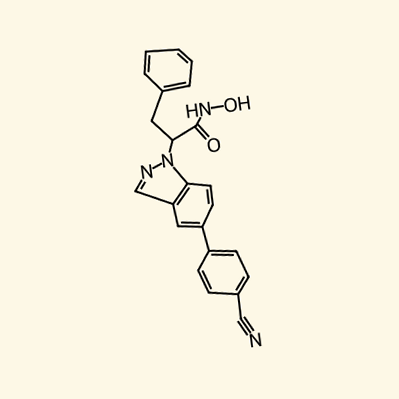 N#Cc1ccc(-c2ccc3c(cnn3C(Cc3ccccc3)C(=O)NO)c2)cc1